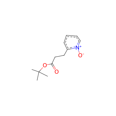 CC(C)(C)OC(=O)CCc1cccc[n+]1[O-]